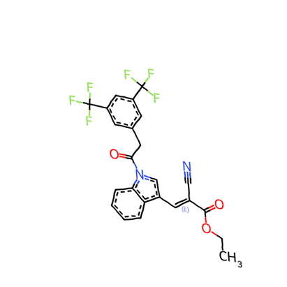 CCOC(=O)/C(C#N)=C/c1cn(C(=O)Cc2cc(C(F)(F)F)cc(C(F)(F)F)c2)c2ccccc12